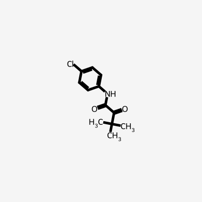 CC(C)(C)C(=O)C(=O)Nc1ccc(Cl)cc1